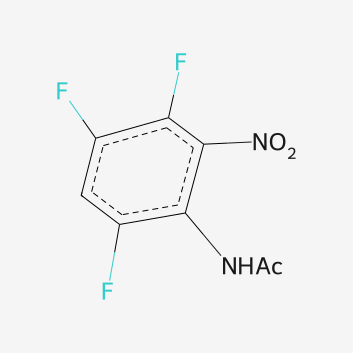 CC(=O)Nc1c(F)cc(F)c(F)c1[N+](=O)[O-]